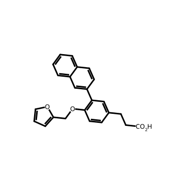 O=C(O)CCc1ccc(OCc2ccco2)c(-c2ccc3ccccc3c2)c1